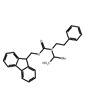 CC(C)(C)C(C(=O)O)N(CCc1ccccc1)C(=O)OCC1c2ccccc2-c2ccccc21